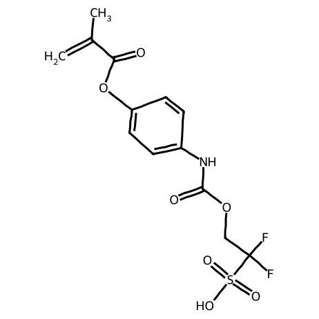 C=C(C)C(=O)Oc1ccc(NC(=O)OCC(F)(F)S(=O)(=O)O)cc1